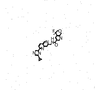 C[C@@]1(F)COCc2ncc(C(=O)NCc3cc4nc(-c5cncc(C6CC6)n5)ccc4cn3)cc21